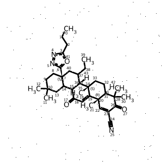 CCCc1nnc([C@]23CCC(C)(C)CC2C2C(=O)C=C4[C@@]5(C)C=C(C#N)C(=O)C(C)(C)[C@@H]5CC[C@@]4(C)[C@H]2C(CC)C3)o1